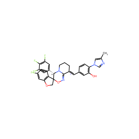 Cc1cn(-c2ccc(/C=C3\CCCN4C3=NOC3(COc5cc(F)ccc53)[C@@H]4c3cc(F)c(F)c(F)c3)cc2O)cn1